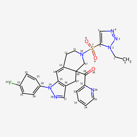 CCn1nncc1S(=O)(=O)N1CCC2=Cc3c(cnn3-c3ccc(F)cc3)CC2(C(=O)c2ccccn2)C1